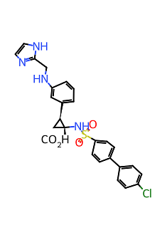 O=C(O)[C@@]1(NS(=O)(=O)c2ccc(-c3ccc(Cl)cc3)cc2)C[C@H]1c1cccc(NCc2ncc[nH]2)c1